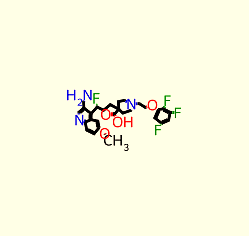 COc1ccc2ncc(CN)c([C@H](F)CCC3(C(=O)O)CCN(CCOc4cc(F)cc(F)c4F)CC3)c2c1